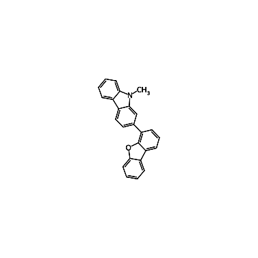 Cn1c2ccccc2c2ccc(-c3cccc4c3oc3ccccc34)cc21